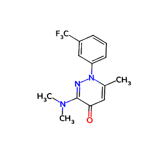 Cc1cc(=O)c(N(C)C)nn1-c1cccc(C(F)(F)F)c1